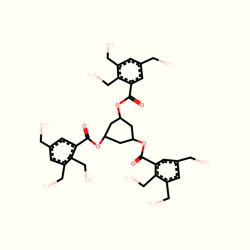 BCc1cc(CB)c(CB)c(C(=O)OC2CC(OC(=O)c3cc(CB)cc(CB)c3CB)CC(OC(=O)c3cc(CB)cc(CB)c3CB)C2)c1